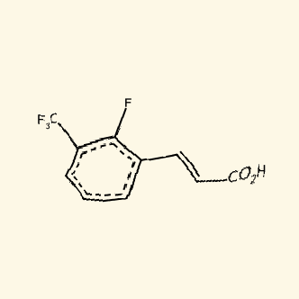 O=C(O)C=Cc1cccc(C(F)(F)F)c1F